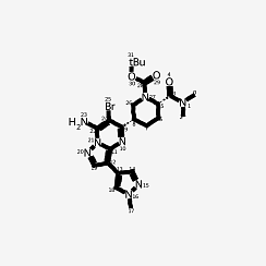 CN(C)C(=O)[C@@H]1CC[C@H](c2nc3c(-c4cnn(C)c4)cnn3c(N)c2Br)CN1C(=O)OC(C)(C)C